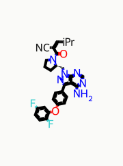 CC(C)/C=C(/C#N)C(=O)N1CCC[C@H]1Cn1nc(-c2ccc(Oc3cc(F)ccc3F)cc2)c2c(N)ncnc21